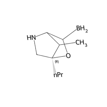 BC1O[C@@]2(CCC)CNC1C2C